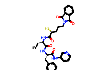 CC(C)C[C@H](NC(=O)[C@@H](S)CCCN1C(=O)c2ccccc2C1=O)C(=O)N[C@@H](Cc1ccccc1)C(=O)Nc1cccnc1